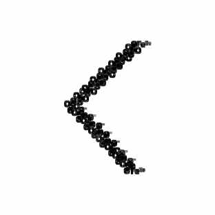 O=S(=O)([O-])[O-].O=S(=O)([O-])[O-].O=S(=O)([O-])[O-].O=S(=O)([O-])[O-].O=S(=O)([O-])[O-].O=S(=O)([O-])[O-].O=S(=O)([O-])[O-].O=S(=O)([O-])[O-].O=S(=O)([O-])[O-].O=S(=O)([O-])[O-].O=S(=O)([O-])[O-].O=S(=O)([O-])[O-].O=S(=O)([O-])[O-].O=S(=O)([O-])[O-].O=S(=O)([O-])[O-].[Fe+3].[Fe+3]